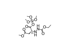 CCOC(=O)NN[C@@H](CC(=O)OC)C(=O)O[Si](OC)(OC)OC